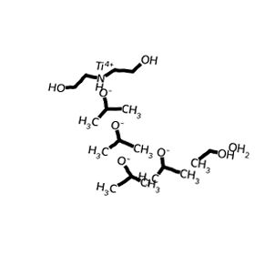 CC(C)[O-].CC(C)[O-].CC(C)[O-].CC(C)[O-].CCO.O.OCCNCCO.[Ti+4]